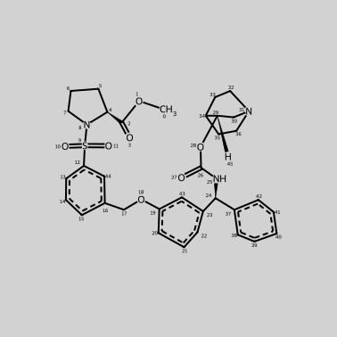 COC(=O)[C@@H]1CCCN1S(=O)(=O)c1cccc(COc2cccc([C@@H](NC(=O)O[C@H]3CN4CCC3CC4)c3ccccc3)c2)c1